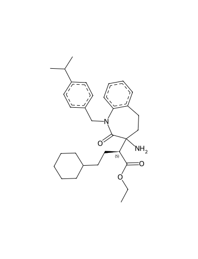 CCOC(=O)[C@@H](CCC1CCCCC1)C1(N)CCc2ccccc2N(Cc2ccc(C(C)C)cc2)C1=O